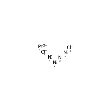 [Cl-].[Cl-].[N].[N].[N].[N].[Pt+2]